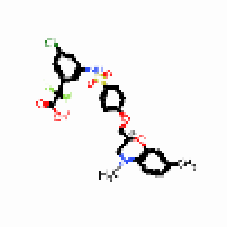 Cc1ccc2c(c1)O[C@H](COc1ccc(S(=O)(=O)Nc3cc(Cl)cc(C(F)(F)C(=O)O)c3)cc1)CN2C